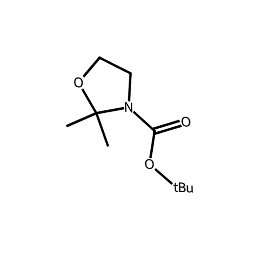 CC(C)(C)OC(=O)N1CCOC1(C)C